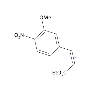 CCOC(=O)/C=C\c1ccc([N+](=O)[O-])c(OC)c1